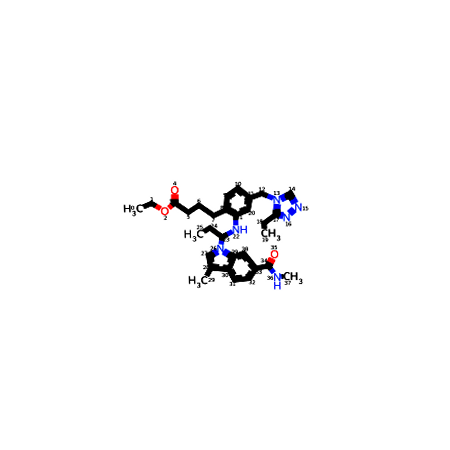 CCOC(=O)CCCc1ccc(Cn2cnnc2CC)cc1NC(CC)n1cc(C)c2ccc(C(=O)NC)cc21